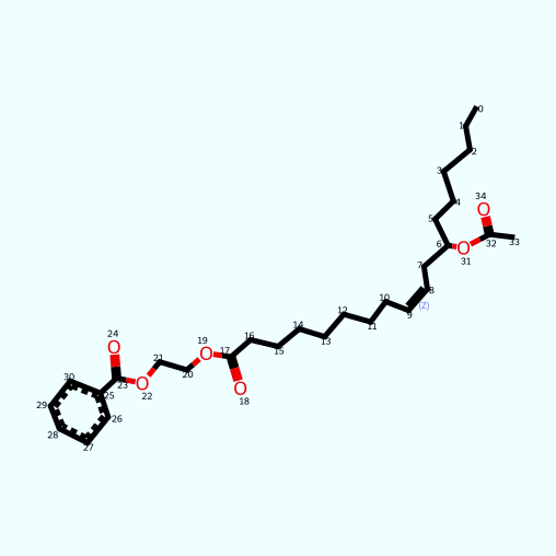 CCCCCCC(C/C=C\CCCCCCCC(=O)OCCOC(=O)c1ccccc1)OC(C)=O